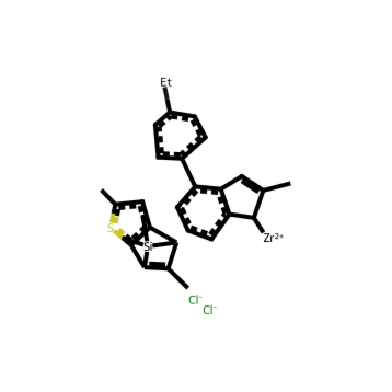 CC1=C2c3sc(C)cc3C1[Si]2(C)C.CCc1ccc(-c2cccc3c2C=C(C)[CH]3[Zr+2])cc1.[Cl-].[Cl-]